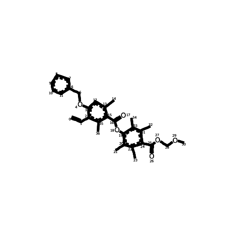 C=Cc1c(OCc2ccccc2)cc(C)c(C(=O)Oc2c(C)c(C)c(C(=O)OCOC)c(C)c2C)c1C